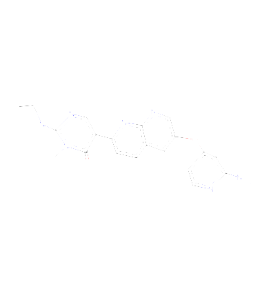 CCNc1ncc(-c2ccc3cc(Oc4ccnc(N)c4F)cnc3n2)c(=O)n1C